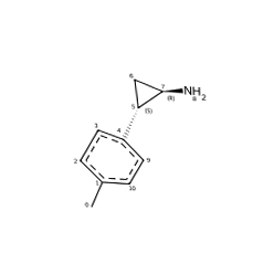 Cc1ccc([C@@H]2C[C@H]2N)cc1